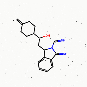 C=C1CCC(C(O)CC2c3ccccc3C(=N)N2C=N)CC1